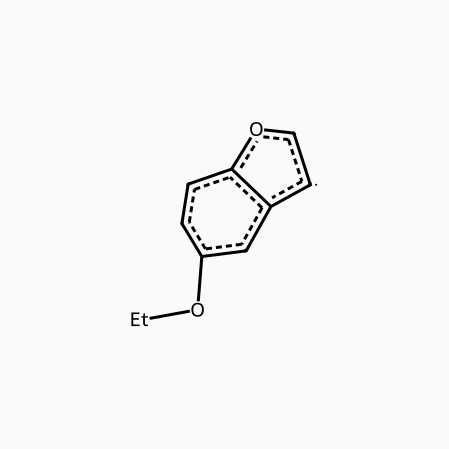 CCOc1ccc2oc[c]c2c1